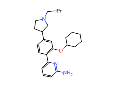 CC(C)CN1CCC(c2ccc(-c3cccc(N)n3)c(OC3CCCCC3)c2)C1